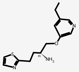 CCc1cncc(OC[C@H](N)CCc2nccs2)c1